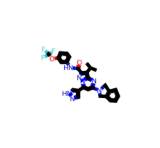 CC(C)c1c(C(=O)Nc2cccc(OC(F)(F)F)c2)nn2c(-c3cn[nH]c3)cc(N3Cc4ccccc4C3)nc12